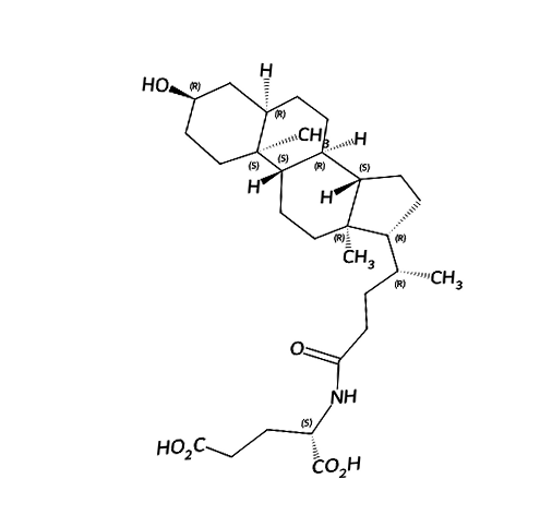 C[C@H](CCC(=O)N[C@@H](CCC(=O)O)C(=O)O)[C@H]1CC[C@H]2[C@@H]3CC[C@@H]4C[C@H](O)CC[C@]4(C)[C@H]3CC[C@]12C